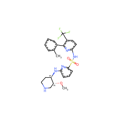 CO[C@@H]1CNCC[C@H]1Nc1cccc(S(=O)(=O)Nc2ccc(C(F)(F)F)c(-c3ccccc3C)n2)n1